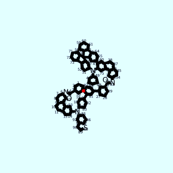 c1ccc(-c2nc3ccc4ccc5ccc(N(c6ccc(-c7cccc(-c8cccc(-c9nc%10ccc%11ccc%12ccc(N(c%13ccccc%13)c%13ccc%14c(c%13)C%13(c%15ccccc%15-c%15ccccc%15%13)c%13ccccc%13-%14)cc%12c%11c%10o9)c8)c7)cc6)c6ccc7sccc7c6)cc5c4c3o2)cc1